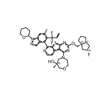 C=CC(F)(F)c1c(C)cc2c(cnn2C2CCCCO2)c1-c1nccc2c1sc1nc(OC[C@@]34CCCN3C[C@H](F)C4)nc(N3CCOC[C@](C)(O)C3)c12